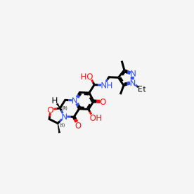 CCn1nc(C)c(CNC(O)c2cn3c(c(O)c2=O)C(=O)N2[C@@H](C)CO[C@@H]2C3)c1C